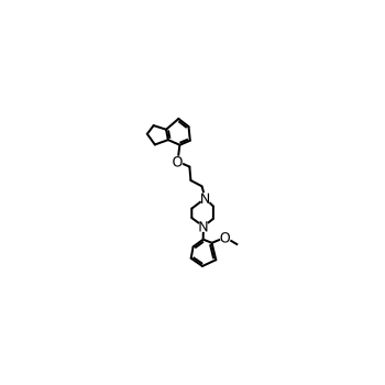 COc1ccccc1N1CCN(CCCOc2cccc3c2CCC3)CC1